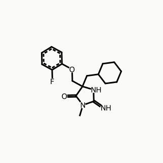 CN1C(=N)NC(COc2ccccc2F)(CC2CCCCC2)C1=O